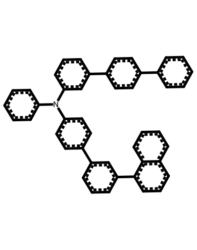 c1ccc(-c2ccc(-c3cccc(N(c4ccccc4)c4ccc(-c5cccc(-c6cccc7ccccc67)c5)cc4)c3)cc2)cc1